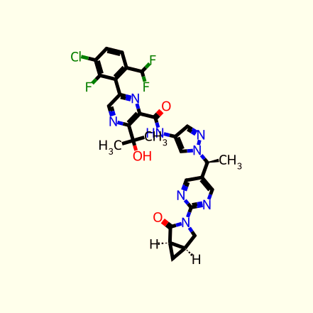 C[C@@H](c1cnc(N2C[C@H]3C[C@H]3C2=O)nc1)n1cc(NC(=O)c2nc(-c3c(C(F)F)ccc(Cl)c3F)cnc2C(C)(C)O)cn1